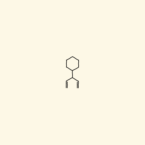 C=CC(C=C)C1CCCCC1